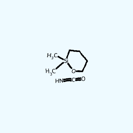 C[Si]1(C)CCCCO1.N=C=O